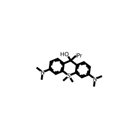 CC(C)C1(O)c2ccc(N(C)C)cc2S(C)(C)c2cc(N(C)C)ccc21